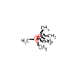 CCCO[Si](CCC)(OCCC)O[Si](CCC)(CCC)CCC